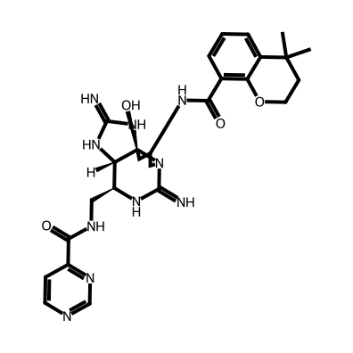 CC1(C)CCOc2c(C(=O)NC3CN4C(=N)N[C@@H](CNC(=O)c5ccncn5)[C@@H]5NC(=N)N[C@@]54[C@@H]3O)cccc21